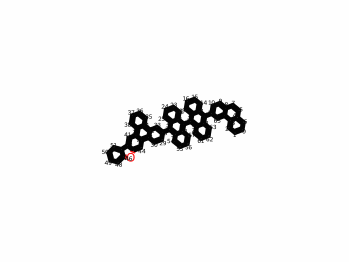 c1ccc2c(c1)ccc1ccc(-c3c4ccccc4c(-c4c5ccccc5c(-c5ccc6c(c5)c5ccccc5c5cc7c(cc65)oc5ccccc57)c5ccccc45)c4ccccc34)cc12